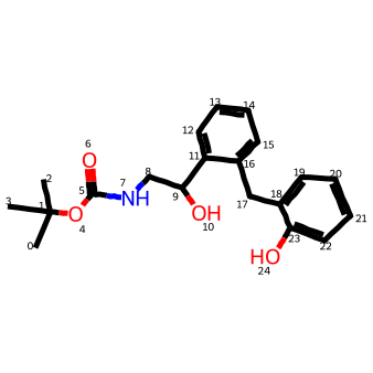 CC(C)(C)OC(=O)NCC(O)c1ccccc1Cc1ccccc1O